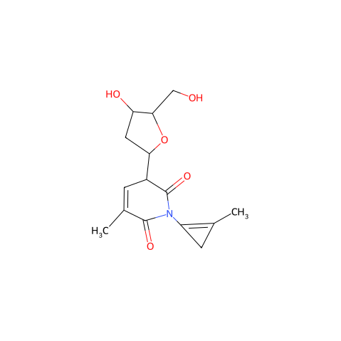 CC1=CC(C2CC(O)C(CO)O2)C(=O)N(C2=C(C)C2)C1=O